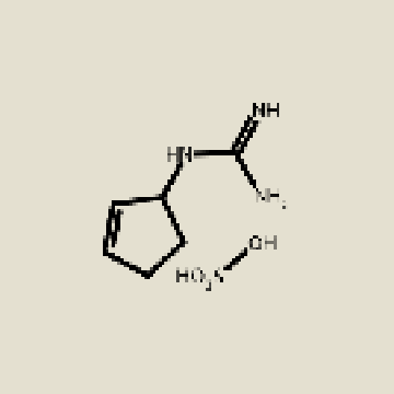 N=C(N)NC1C=CCC1.O=S(=O)(O)O